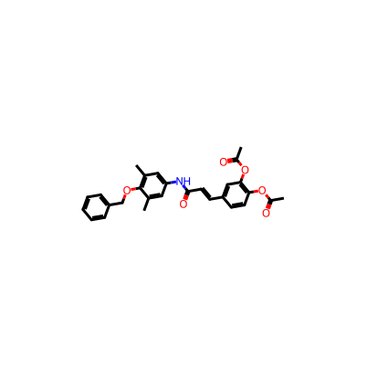 CC(=O)Oc1ccc(/C=C/C(=O)Nc2cc(C)c(OCc3ccccc3)c(C)c2)cc1OC(C)=O